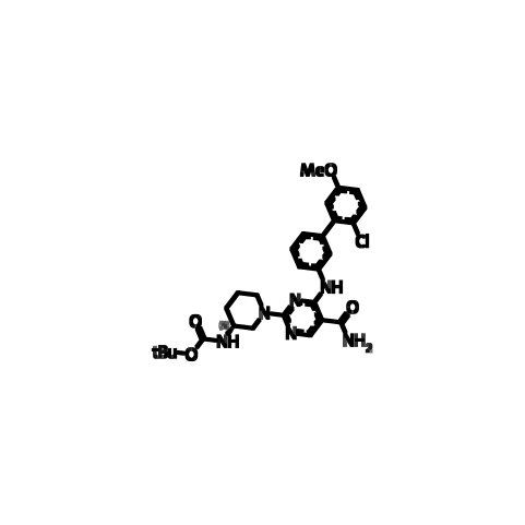 COc1ccc(Cl)c(-c2cccc(Nc3nc(N4CCC[C@H](NC(=O)OC(C)(C)C)C4)ncc3C(N)=O)c2)c1